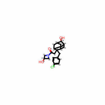 O=C(CC1(Cc2ccc(Cl)cc2)C2CC3CC1CC(C2)C3O)N1CC(O)C1